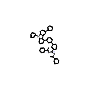 C=C(/N=C(\N=C(/C)c1ccccc1)c1cccc(-c2cccc(-c3cccc4c3c3cc(-c5ccccc5)ccc3n4-c3ccccc3)c2)c1)C1=CCCC=C1